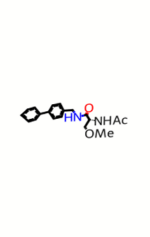 COC[C@@H](NC(C)=O)C(=O)NCc1ccc(-c2ccccc2)cc1